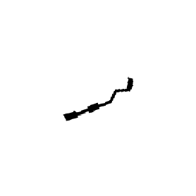 C#CC#CCCC=C